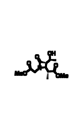 COC(=O)CN1C(=O)[C@H]([C@H](C)O)[C@H]1[C@@H](C)C(=O)OC